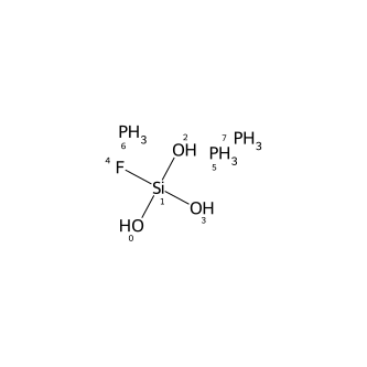 O[Si](O)(O)F.P.P.P